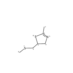 CSCC1CN=C(C)S1